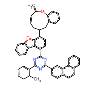 C=C1/C=C\CC(c2ccc(-c3nc(C4=CC=CCC4C)nc(-c4ccc5ccc6ccccc6c5c4)n3)c3c2oc2ccccc23)Cc2ccccc2O1